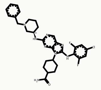 NC(=O)C1CCC(n2c(Nc3c(F)cc(Cl)cc3F)nc3cnc(N[C@@H]4CCCN(Cc5ccccc5)C4)nc32)CC1